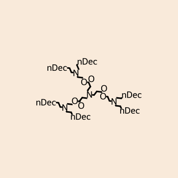 CCCCCCCCCCCCN(CCCCCCCCCCCC)CCOC(=O)CCN(CCC(=O)OCCN(CCCCCCCCCCCC)CCCCCCCCCCCC)CCC(=O)OCCN(CCCCCCCCCCCC)CCCCCCCCCCCC